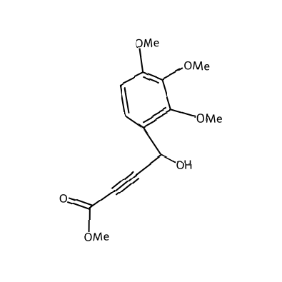 COC(=O)C#CC(O)c1ccc(OC)c(OC)c1OC